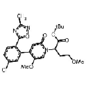 COCCC(C(=O)OC(C)(C)C)n1cc(OC)c(-c2cc(Cl)ccc2-c2nc(C)no2)cc1=O